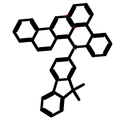 CC1(C)c2ccccc2-c2ccc(N(c3ccccc3-c3ccccc3)c3cccc4c3ccc3ccccc34)cc21